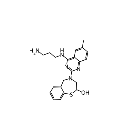 Cc1ccc2nc(N3Cc4ccccc4SC(O)C3)nc(NCCCN)c2c1